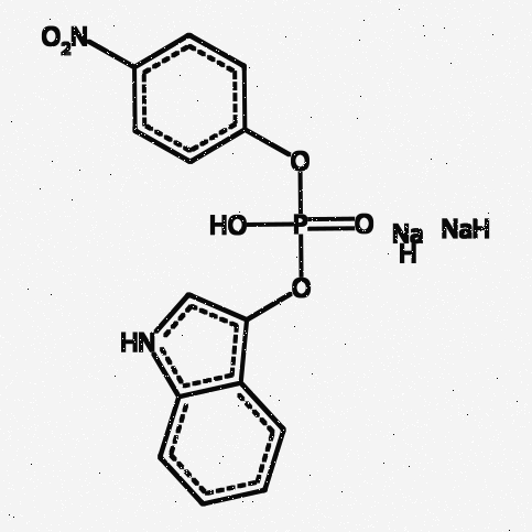 O=[N+]([O-])c1ccc(OP(=O)(O)Oc2c[nH]c3ccccc23)cc1.[NaH].[NaH]